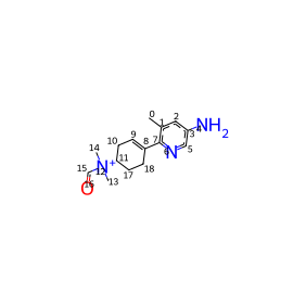 Cc1cc(N)cnc1C1=CCC([N+](C)(C)C=O)CC1